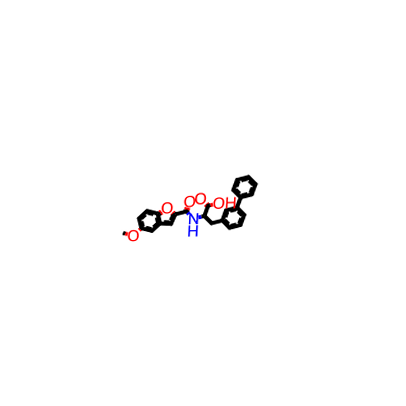 COc1ccc2oc(C(=O)NC(Cc3cccc(-c4ccccc4)c3)C(=O)O)cc2c1